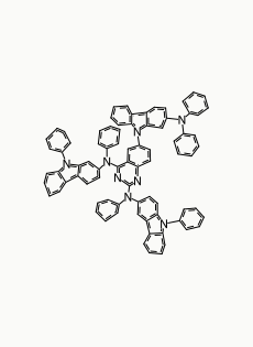 c1ccc(N(c2ccccc2)c2ccc3c4ccccc4n(-c4ccc5nc(N(c6ccccc6)c6ccc7c(c6)c6ccccc6n7-c6ccccc6)nc(N(c6ccccc6)c6ccc7c8ccccc8n(-c8ccccc8)c7c6)c5c4)c3c2)cc1